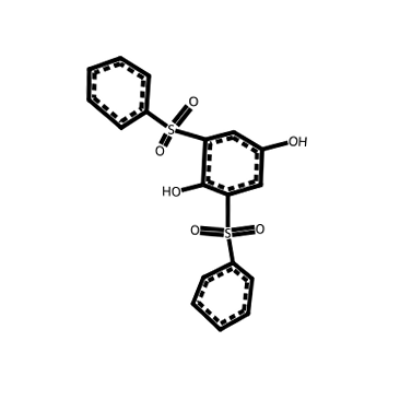 O=S(=O)(c1ccccc1)c1cc(O)cc(S(=O)(=O)c2ccccc2)c1O